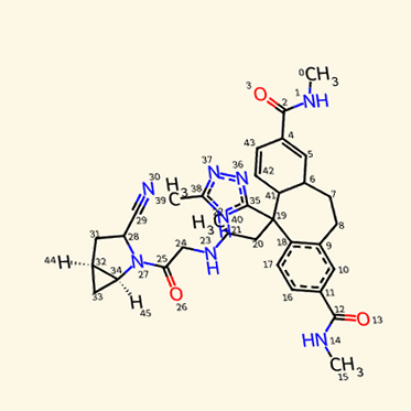 CNC(=O)C1=CC2CCc3cc(C(=O)NC)ccc3C(C[C@H](C)NCC(=O)N3C(C#N)C[C@@H]4C[C@@H]43)(c3nnc(C)[nH]3)C2C=C1